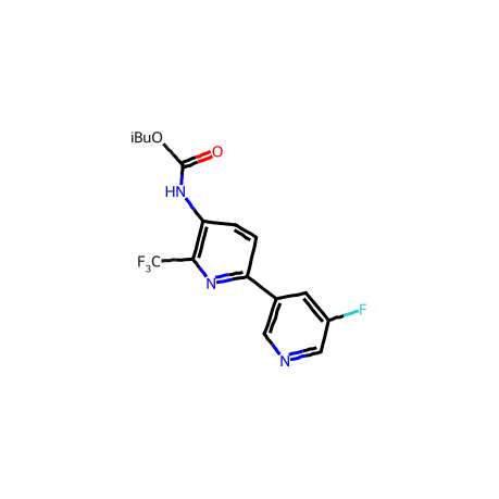 CC(C)COC(=O)Nc1ccc(-c2cncc(F)c2)nc1C(F)(F)F